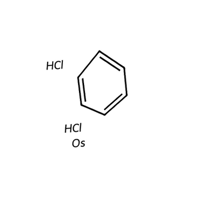 Cl.Cl.[Os].c1ccccc1